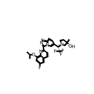 CC(C)Oc1cc(F)cc2ccc(-c3nnc4ccc([C@H](N5CCC(C)(O)C5)C(F)(F)F)cn34)nc12